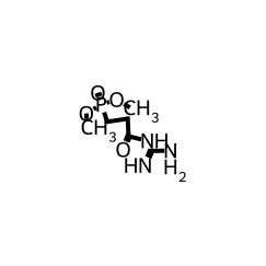 COP(=O)(CCC(=O)NC(=N)N)OC